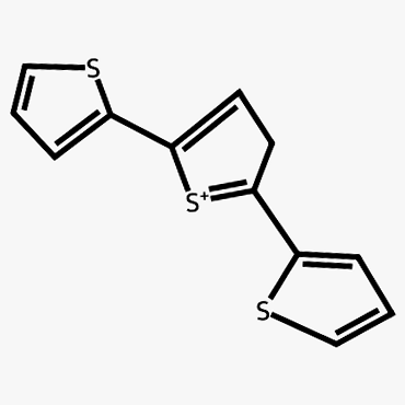 C1=C(c2cccs2)[S+]=C(c2cccs2)C1